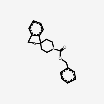 O=C(OCc1ccccc1)N1CCC2(CC1)SCc1ccccc12